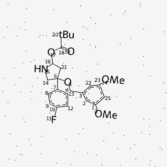 COc1cc(COC2(c3ccc(F)cc3)CNC(OC(=O)C(C)(C)C)C2)cc(OC)c1